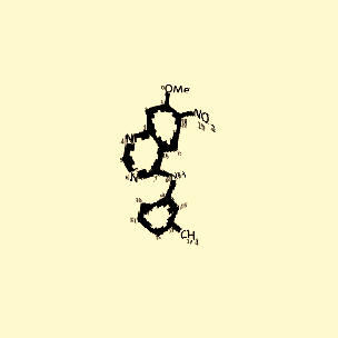 COc1cc2ncnc(Nc3cccc(C)c3)c2cc1[N+](=O)[O-]